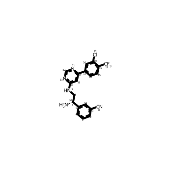 N#Cc1cccc([C@H](N)CNc2cc(-c3ccc(C(F)(F)F)c(Cl)c3)ncn2)c1